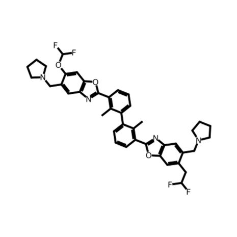 Cc1c(-c2nc3cc(CN4CCCC4)c(CC(F)F)cc3o2)cccc1-c1cccc(-c2nc3cc(CN4CCCC4)c(OC(F)F)cc3o2)c1C